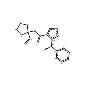 C=CC1(OC(=O)c2cncn2[C@H](C)c2ccccc2)CCCC1